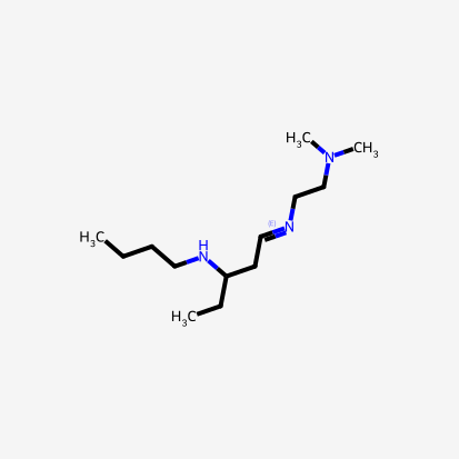 CCCCNC(CC)C/C=N/CCN(C)C